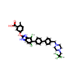 Cc1ccc(Oc2nc3c(F)c(-c4ccc(-c5ccc(CN6CCN(CC(F)(F)F)CC6)cc5)cc4)c(F)cc3[nH]2)cc1C(=O)O